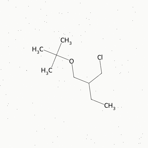 CCC(CCl)COC(C)(C)C